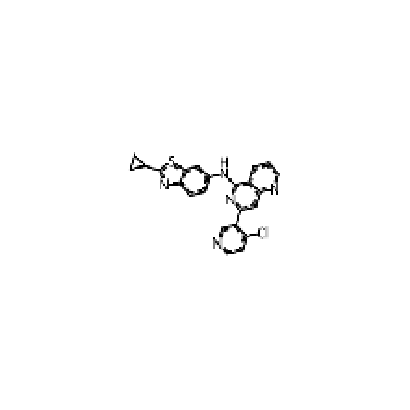 Clc1ccncc1-c1cc2ncccc2c(Nc2ccc3nc(C4CC4)sc3c2)n1